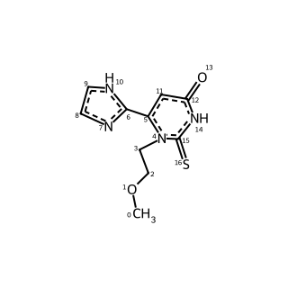 COCCn1c(-c2ncc[nH]2)cc(=O)[nH]c1=S